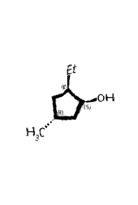 CC[C@@H]1C[C@@H](C)C[C@@H]1O